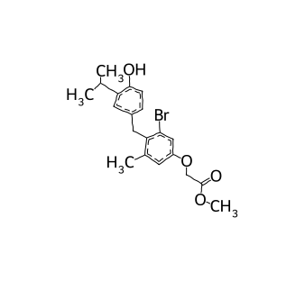 COC(=O)COc1cc(C)c(Cc2ccc(O)c(C(C)C)c2)c(Br)c1